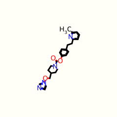 Cc1cccc(CCc2ccc(OC(=O)N3CCC(COn4ccnc4)CC3)cc2)n1